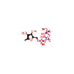 CC1OC(COP(=O)(O)OP(=O)(O)OP(=O)(O)O)C(O)C1O